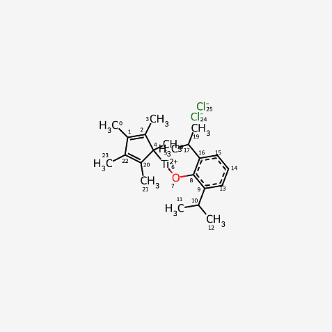 CC1=C(C)[C](C)([Ti+2][O]c2c(C(C)C)cccc2C(C)C)C(C)=C1C.[Cl-].[Cl-]